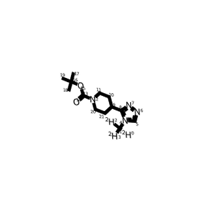 [2H]C([2H])([2H])n1cnnc1C1CCN(C(=O)OC(C)(C)C)CC1